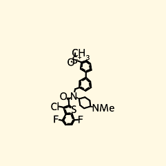 CN[C@H]1CC[C@@H](N(Cc2cccc(-c3cccc([S+](C)[O-])c3)c2)C(=O)c2sc3c(F)ccc(F)c3c2Cl)CC1